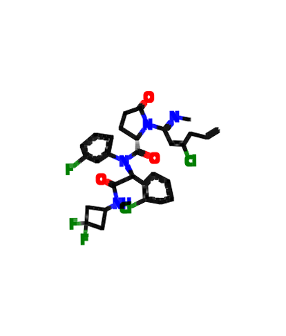 C=CC/C(Cl)=C\C(=N/C)N1C(=O)CC[C@H]1C(=O)N(c1cccc(F)c1)[C@H](C(=O)NC1CC(F)(F)C1)c1ccccc1Cl